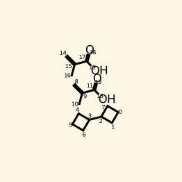 C1CC(C2CCC2)C1.C=C(C)C(=O)O.C=C(C)C(=O)O